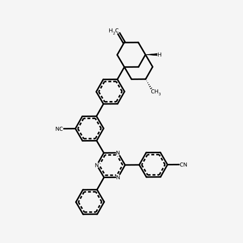 C=C1C[C@@H]2C[C@H](C)CC(c3ccc(-c4cc(C#N)cc(-c5nc(-c6ccccc6)nc(-c6ccc(C#N)cc6)n5)c4)cc3)(C1)C2